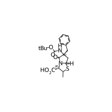 CC1S[C@H]2C[C@@](Cc3ccccc3)(NC(=O)OC(C)(C)C)C(=O)N2[C@@H]1C(=O)O